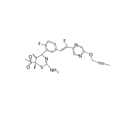 C=C1[C@@](C)(c2cc(/C=C(\F)c3cnc(OCC#CC)cn3)ccc2F)N=C(N)S[C@]1(C)S(C)(=O)=O